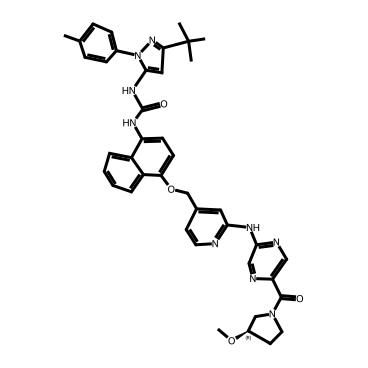 CO[C@@H]1CCN(C(=O)c2cnc(Nc3cc(COc4ccc(NC(=O)Nc5cc(C(C)(C)C)nn5-c5ccc(C)cc5)c5ccccc45)ccn3)cn2)C1